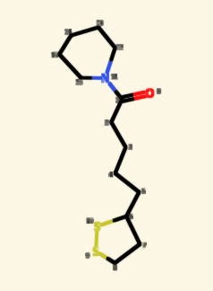 O=C(CCCCC1CCSS1)N1CCCCC1